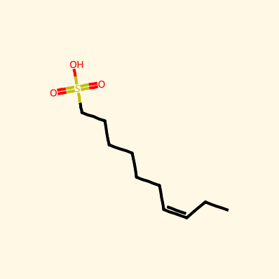 CC/C=C\CCCCCCS(=O)(=O)O